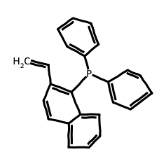 C=Cc1ccc2ccccc2c1P(c1ccccc1)c1ccccc1